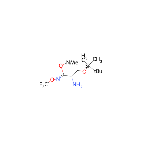 CNO/C(=N\OC(F)(F)F)[C@@H](N)CO[Si](C)(C)C(C)(C)C